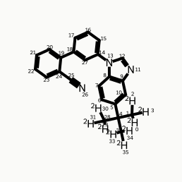 [2H]C([2H])([2H])C(c1ccc2c(c1)ncn2-c1cccc(-c2ccccc2C#N)c1)(C([2H])([2H])[2H])C([2H])([2H])[2H]